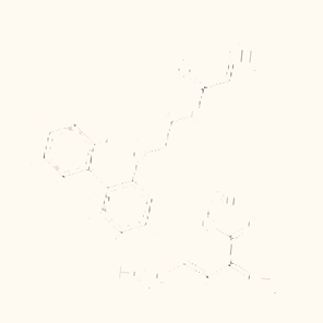 C=C(C=CC(=O)O)C(=O)OCCCC.C=CC(=O)OCCOc1ccccc1-c1ccccc1